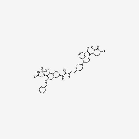 O=C1CCC(N2C(=O)c3cccc4c(N5CCC(CCNC(=O)Nc6ccc7c(F)c(N8CC(=O)NS8(=O)=O)c(OCc8ccccc8)cc7c6)CC5)ccc2c34)C(=O)N1